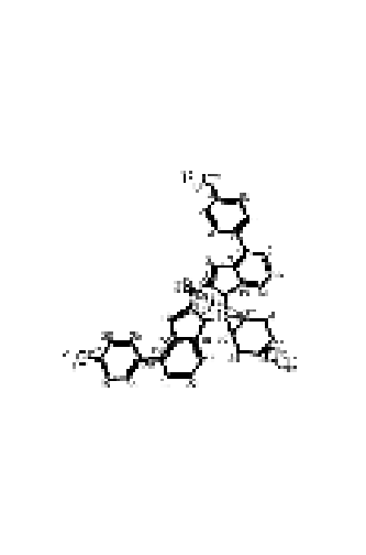 CC(C)(C)C1=Cc2c(-c3ccc(C(F)(F)F)cc3)cccc2[CH]1[Ti+2]1([CH]2C(C(C)(C)C)=Cc3c(-c4ccc(C(F)(F)F)cc4)cccc32)[CH]2CCCC[CH]21.[Cl-].[Cl-]